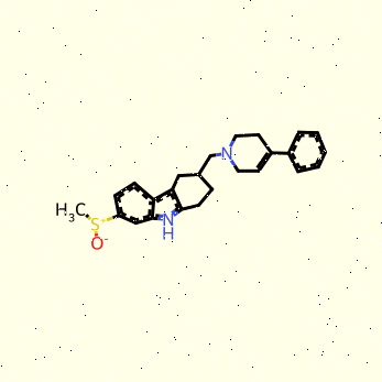 C[S+]([O-])c1ccc2c3c([nH]c2c1)CCC(CN1CC=C(c2ccccc2)CC1)C3